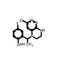 COc1ccc(F)cc1C(C)N1CCNc2nnc(Cl)cc21